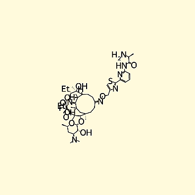 CCC(=O)/N=C1\[C@H](C)C[C@@]2(C)CC/C(=N/OCc3csc(-c4cccc(NC(=O)[C@H](C)N)n4)n3)CC[C@H]([C@H]1C)[C@](C)(O)[C@@H](CC)OC(=O)[C@@](C)(F)C(=O)C(C)[C@H]2O[C@@H]1O[C@H](C)C[C@H](N(C)C)[C@H]1O